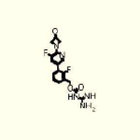 N=C(N)NC(=O)OCc1cccc(-c2cnc(N3CC(=O)C3)c(F)c2)c1F